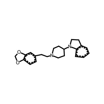 c1ccc2c(c1)CCN2C1CCN(CCc2ccc3c(c2)OCO3)CC1